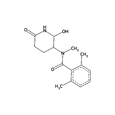 Cc1cccc(C)c1C(=O)N(C)C1CCC(=O)NC1O